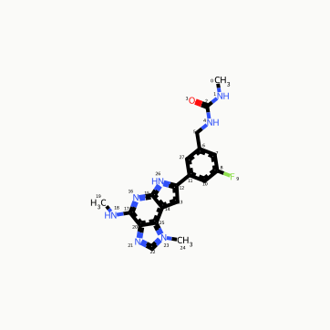 CNC(=O)NCc1cc(F)cc(-c2cc3c(nc(NC)c4ncn(C)c43)[nH]2)c1